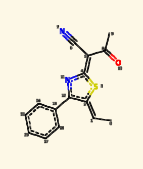 C/C=c1\s/c(=C(/C#N)C(C)=O)nc1-c1ccccc1